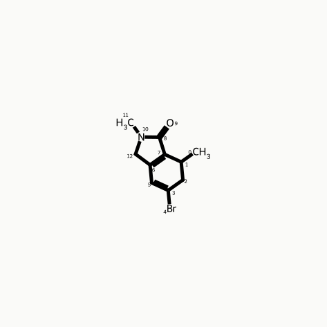 CC1CC(Br)=CC2=C1C(=O)N(C)C2